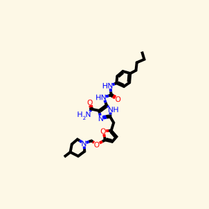 CCCCc1ccc(NC(=O)Nc2[nH]c(Cc3ccc(OCN4CCC(C)CC4)o3)nc2C(N)=O)cc1